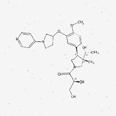 COc1ccc([C@@H]2CN(C(=O)[C@@H](O)CO)C[C@@]2(C)[C@@H](C)O)cc1OC1CCN(c2ccncc2)C1